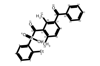 CCc1ccccc1P(=O)(O)C(=O)c1c(C)ccc(C(=O)c2ccccc2)c1C